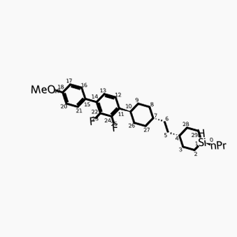 CCC[Si@H]1CC[C@H](CC[C@H]2CC[C@H](c3ccc(-c4ccc(OC)cc4)c(F)c3F)CC2)CC1